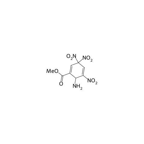 COC(=O)C1=CC([N+](=O)[O-])([N+](=O)[O-])C=C([N+](=O)[O-])C1N